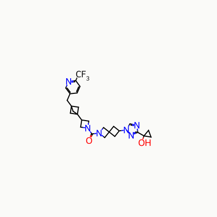 O=C(N1CC(C23CC(Cc4ccc(C(F)(F)F)nc4)(C2)C3)C1)N1CC2(CC(n3cnc(C4(O)CC4)n3)C2)C1